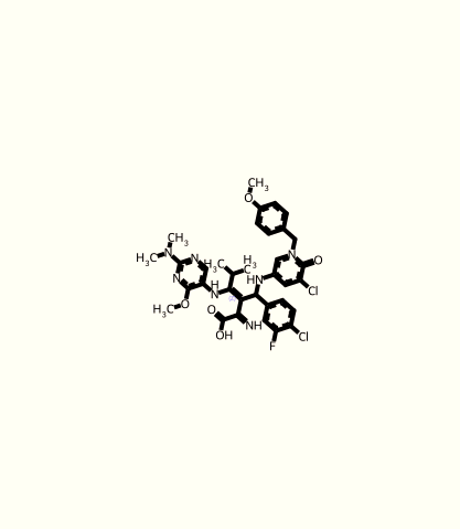 COc1ccc(Cn2cc(NC(/C(C(=N)C(=O)O)=C(/Nc3cnc(N(C)C)nc3OC)C(C)C)c3ccc(Cl)c(F)c3)cc(Cl)c2=O)cc1